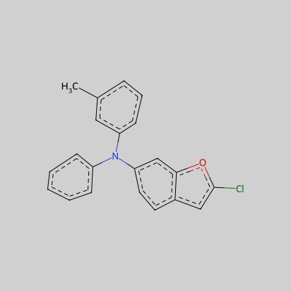 Cc1cccc(N(c2ccccc2)c2ccc3cc(Cl)oc3c2)c1